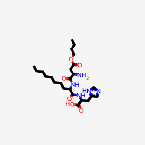 CCCCCCCCC(NC(=O)C(N)CC(=O)OCCCC)C(=O)NC(Cc1cnc[nH]1)C(=O)O